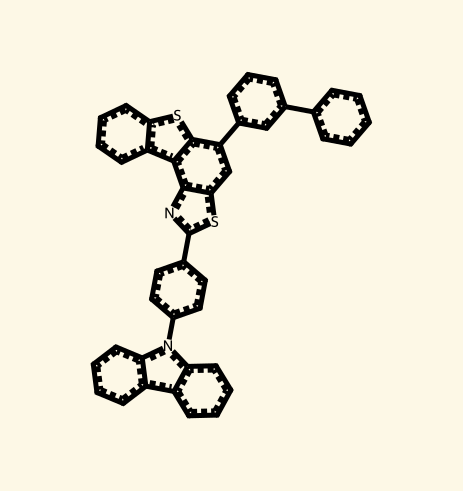 c1ccc(-c2cccc(-c3cc4sc(-c5ccc(-n6c7ccccc7c7ccccc76)cc5)nc4c4c3sc3ccccc34)c2)cc1